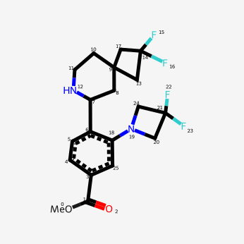 COC(=O)c1ccc(C2CC3(CCN2)CC(F)(F)C3)c(N2CC(F)(F)C2)c1